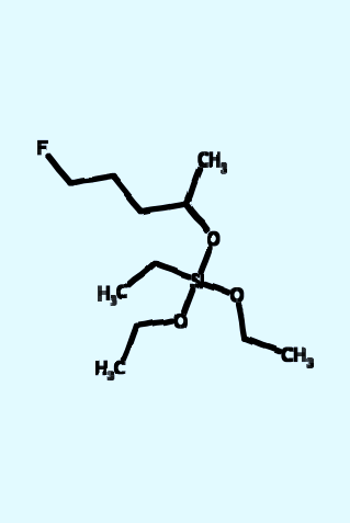 CCO[Si](CC)(OCC)OC(C)CCCF